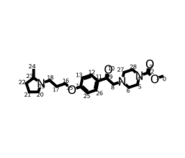 COC(=O)N1CCN(CC(=O)c2ccc(OCCCN3CCCC3C)cc2)CC1